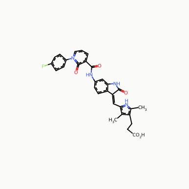 Cc1[nH]c(/C=C2\C(=O)Nc3cc(NC(=O)c4cccn(-c5ccc(F)cc5)c4=O)ccc32)c(C)c1CCC(=O)O